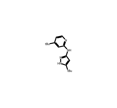 CC(C)(C)c1ccnc(Nc2cc(C(C)(C)C)[nH]n2)c1